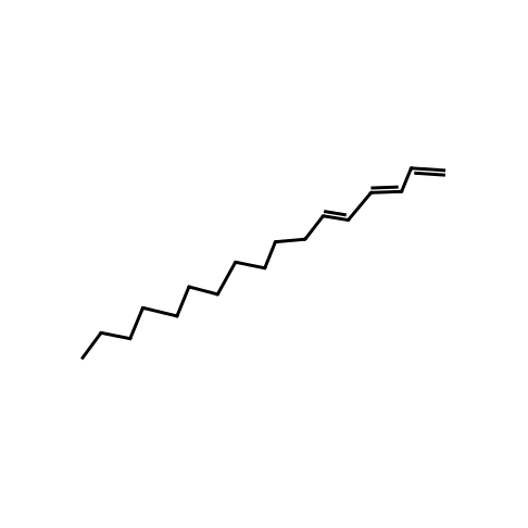 C=C/C=C/C=C/CCCCCCCCCCC